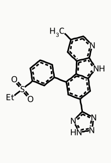 CCS(=O)(=O)c1cccc(-c2cc(-c3nn[nH]n3)cc3[nH]c4ncc(C)cc4c23)c1